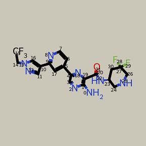 Nc1ncc(-c2ccnc(-c3cnn(CC(F)(F)F)c3)c2)nc1C(=O)N[C@@H]1CNCC(F)(F)C1